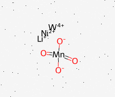 [Li+].[Ni+2].[O]=[Mn](=[O])([O-])[O-].[W+4]